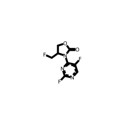 O=C1OCC(CF)N1c1nc(F)ncc1F